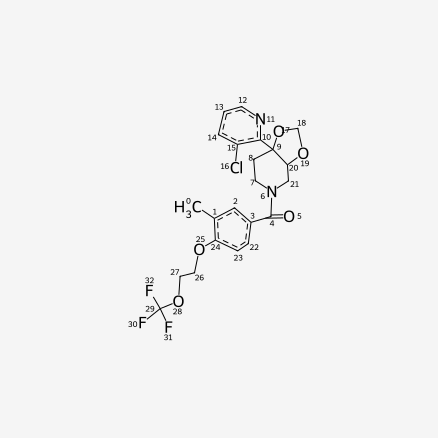 Cc1cc(C(=O)N2CCC3(c4ncccc4Cl)OCOC3C2)ccc1OCCOC(F)(F)F